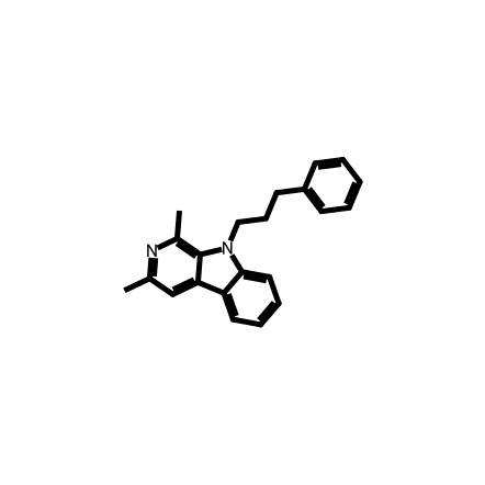 Cc1cc2c3ccccc3n(CCCc3ccccc3)c2c(C)n1